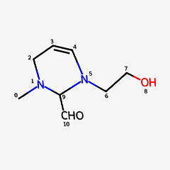 CN1CC=CN(CCO)C1C=O